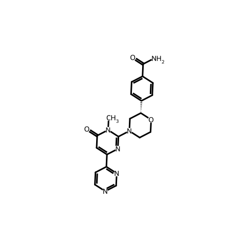 Cn1c(N2CCO[C@@H](c3ccc(C(N)=O)cc3)C2)nc(-c2ccncn2)cc1=O